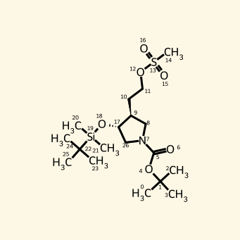 CC(C)(C)OC(=O)N1C[C@H](CCOS(C)(=O)=O)[C@@H](O[Si](C)(C)C(C)(C)C)C1